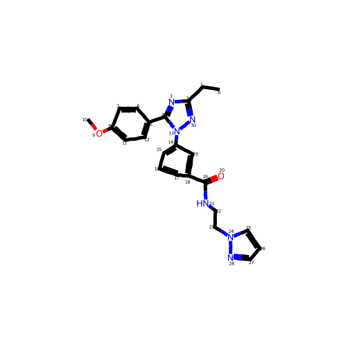 CCc1nc(-c2ccc(OC)cc2)n(-c2cccc(C(=O)NCCn3cccn3)c2)n1